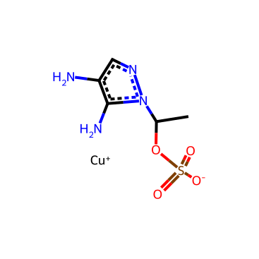 CC(OS(=O)(=O)[O-])n1ncc(N)c1N.[Cu+]